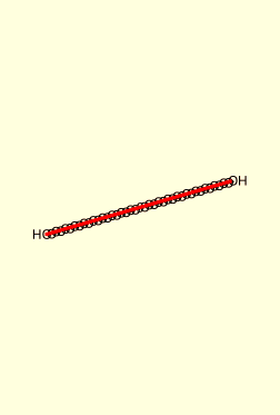 OCCOCCOCCOCCOCCOCCOCCOCCOCCOCCOCCOCCOCCOCCOCCOCCOCCOCCOCCOCCSCCOCCOCCOCCOCCOCCOCCOCCOCCOCCOCCOCCOCCOCCOCCOCCOCCOCCOCCOCCO